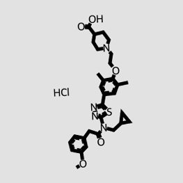 COc1cccc(CC(=O)N(CC2CC2)c2nnc(-c3cc(C)c(OCCN4CCC(C(=O)O)CC4)c(C)c3)s2)c1.Cl